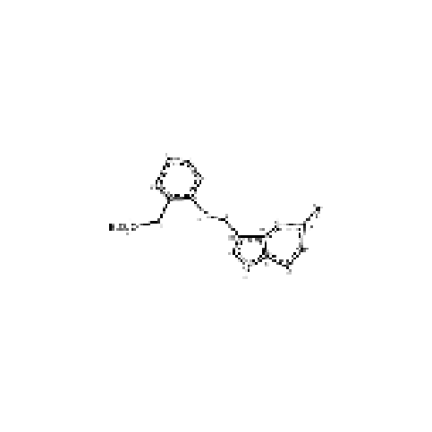 CCOC(=O)Cc1ccccc1OCc1coc2ccc(Br)cc12